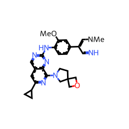 CN/C=C(\C=N)c1ccc(Nc2ncc3cc(C4CC4)nc(N4CCC5(COC5)C4)c3n2)c(OC)c1